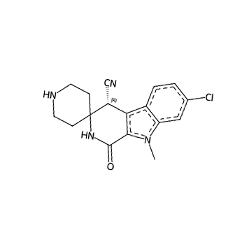 Cn1c2c(c3ccc(Cl)cc31)[C@@H](C#N)C1(CCNCC1)NC2=O